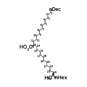 CCCCCCCCCCCCCCCCCCCCCCC(CCCCCCCCCCCC(O)CCCCCC)C(=O)O